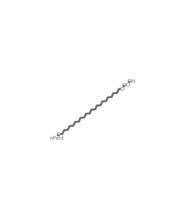 CCCCCOCCCCCCCCCCCCCCCCCCCCCCOOOO